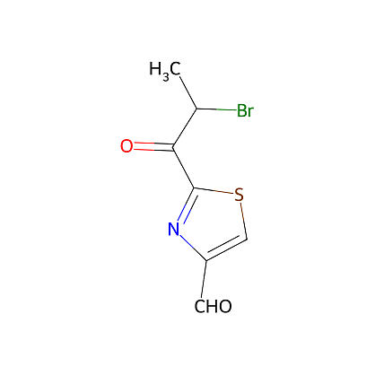 CC(Br)C(=O)c1nc(C=O)cs1